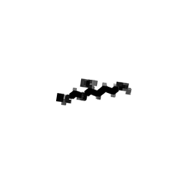 CCOCCCCN.Cl